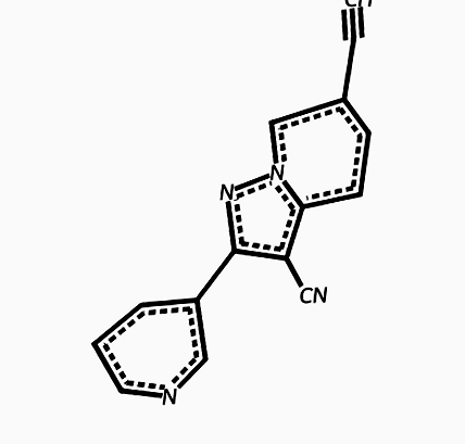 C#Cc1ccc2c(C#N)c(-c3cccnc3)nn2c1